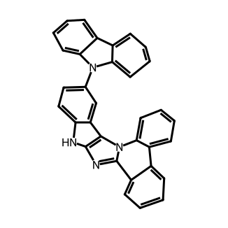 c1ccc2c(c1)c1ccccc1n1c2nc2[nH]c3ccc(-n4c5ccccc5c5ccccc54)cc3c21